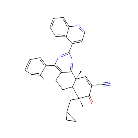 C[C@]1(CC2CC2)C(=O)C(C#N)=C[C@@]2(C)c3nc(-c4ccnc5ccccc45)nc(-c4ccccc4F)c3CC[C@H]12